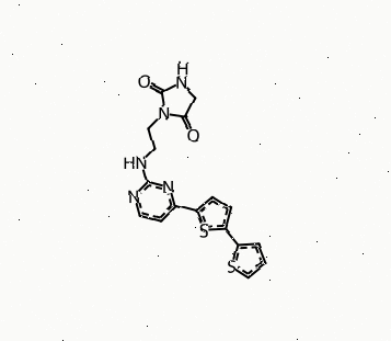 O=C1CNC(=O)N1CCNc1nccc(-c2ccc(-c3cccs3)s2)n1